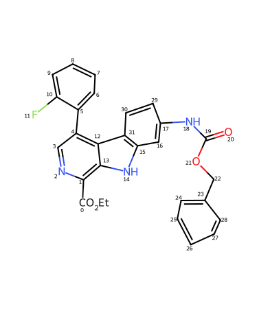 CCOC(=O)c1ncc(-c2ccccc2F)c2c1[nH]c1cc(NC(=O)OCc3ccccc3)ccc12